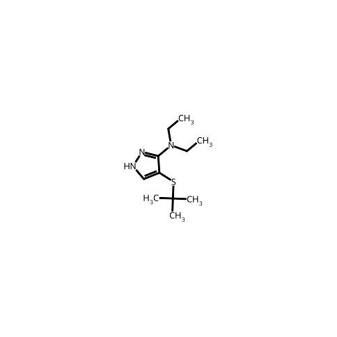 CCN(CC)c1n[nH]cc1SC(C)(C)C